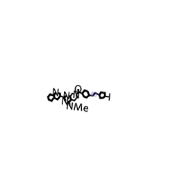 CNc1nc(-c2cnc3ccccc3c2)nc2c1CCN(C(=O)c1ccc(/C=C/c3ccc(I)cc3)cc1)C2